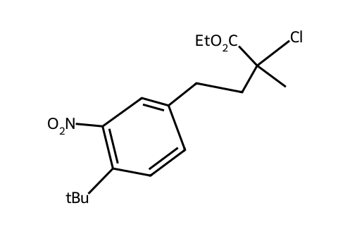 CCOC(=O)C(C)(Cl)CCc1ccc(C(C)(C)C)c([N+](=O)[O-])c1